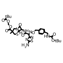 CC(C)(C)OC(=O)NCc1ccc(CON=C(C(=O)NC2C(=O)N3CC(C)(C(=O)OCOC(=O)C(C)(C)C)CS[C@H]23)c2nsc(N)n2)cc1